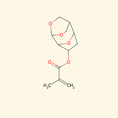 C=C(C)C(=O)OC1CC2OC1C1OCC2CO1